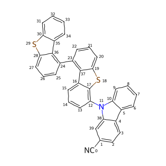 N#Cc1ccc2c3ccccc3n(-c3cccc4c3sc3cccc(-c5cccc6sc7ccccc7c56)c34)c2c1